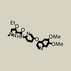 CCOc1cn(C)nc1C(=O)Nc1ccc(Oc2ccnc3cc(OC)c(OC)cc23)cn1